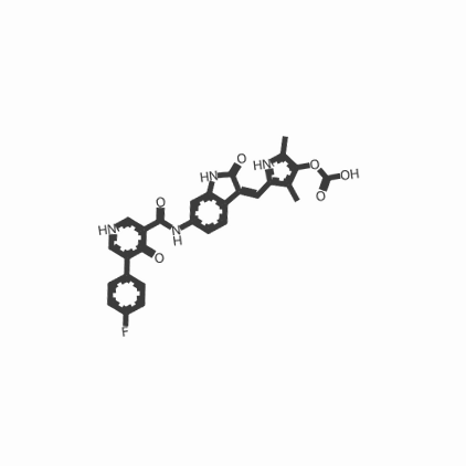 Cc1[nH]c(/C=C2\C(=O)Nc3cc(NC(=O)c4c[nH]cc(-c5ccc(F)cc5)c4=O)ccc32)c(C)c1OC(=O)O